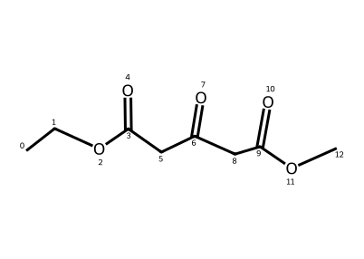 CCOC(=O)CC(=O)CC(=O)OC